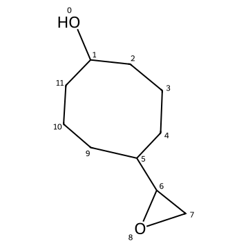 OC1CCCC(C2CO2)CCC1